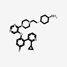 N[C@H]1CC[C@H](CCN2CCN(c3ncncc3Oc3ccc(F)cc3-c3cccnc3C3CC3)CC2)CC1